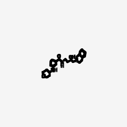 O=C(NCC[C@H](O)CN1CCc2ccccc2C1)c1cccc(NC2CCOCC2)c1